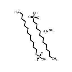 CCCCCCCCCCCCOS(=O)(=O)O.CCCCCCCCCCCCS(=O)(=O)O.N.N